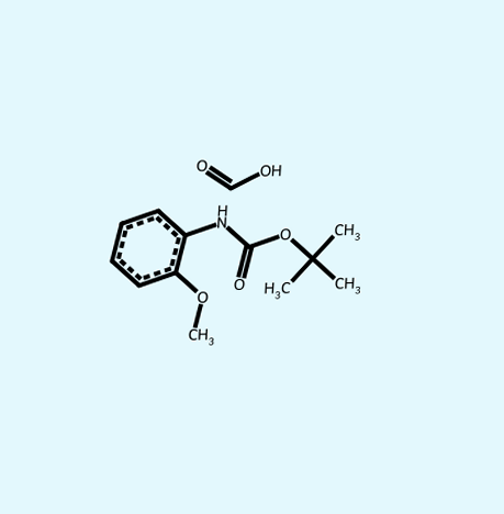 COc1ccccc1NC(=O)OC(C)(C)C.O=CO